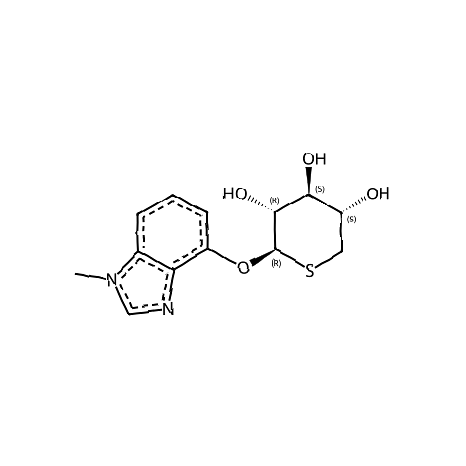 Cn1cnc2c(O[C@@H]3SC[C@@H](O)[C@H](O)[C@H]3O)cccc21